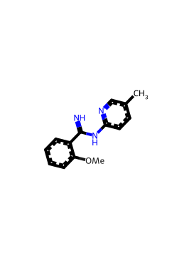 COc1ccccc1C(=N)Nc1ccc(C)cn1